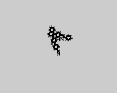 N#CC1=CC=C(c2ccc(-c3ccc4c(c3-c3ccc(CC(=N)c5ccccc5)cc3)CCC=C4)cc2)CC1